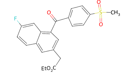 CCOC(=O)Cc1cc(C(=O)c2ccc(S(C)(=O)=O)cc2)c2cc(F)ccc2c1